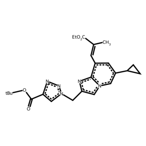 CCOC(=O)/C(C)=C/c1cc(C2CC2)cn2cc(Cn3cc(C(=O)OC(C)(C)C)nn3)nc12